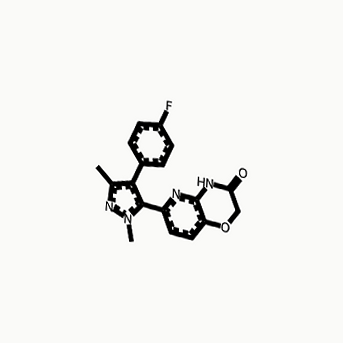 Cc1nn(C)c(-c2ccc3c(n2)NC(=O)CO3)c1-c1ccc(F)cc1